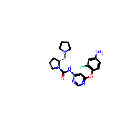 Nc1ccc(Oc2cc(NC(=O)N3CCC[C@@H]3CN3CCCC3)ncn2)c(F)c1